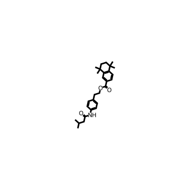 CC(C)CC(=O)Nc1ccc(CCOC(=O)c2ccc3c(c2)C(C)(C)CCC3(C)C)cc1